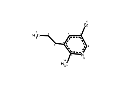 CCCc1cc(Br)cnc1C